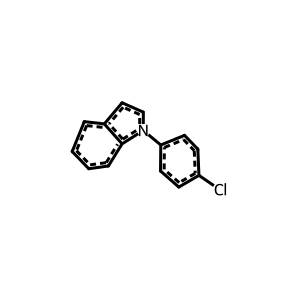 Clc1ccc(-n2ccc3ccccc32)cc1